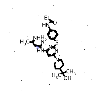 CCC(=O)Nc1ccc(Sc2nc(N/C(N)=C/C(C)=N)cc(N3CCC(C(C)(C)O)CC3)n2)cc1